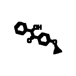 O=C(c1ccc(OC2CC2)cc1)C(O)c1ccccc1